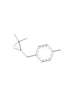 CC1(C)SC1Cc1ccc(O)cc1